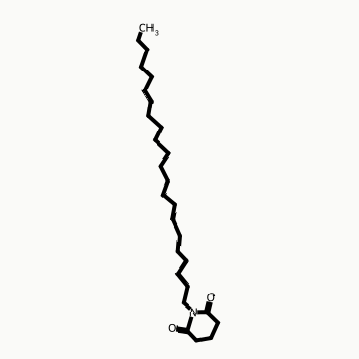 CCCCCCCCCCCCCCCCCCCCCCN1C(=O)CCCC1=O